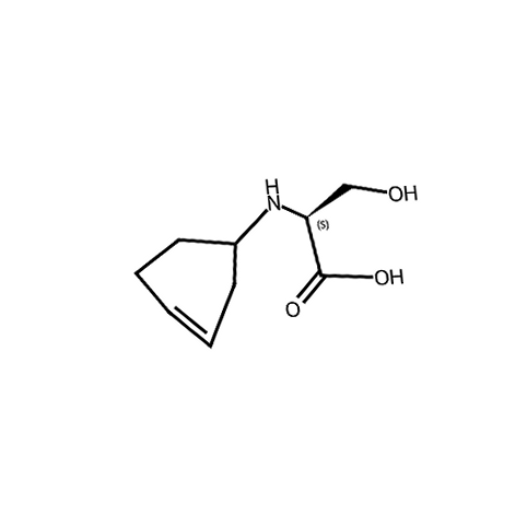 O=C(O)[C@H](CO)NC1CC=CCC1